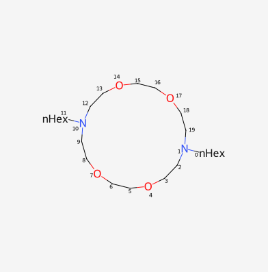 CCCCCCN1CCOCCOCCN(CCCCCC)CCOCCOCC1